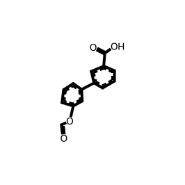 O=COc1cccc(-c2cccc(C(=O)O)c2)c1